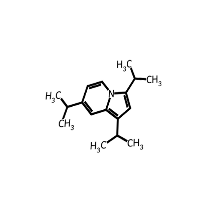 CC(C)c1ccn2c(C(C)C)cc(C(C)C)c2c1